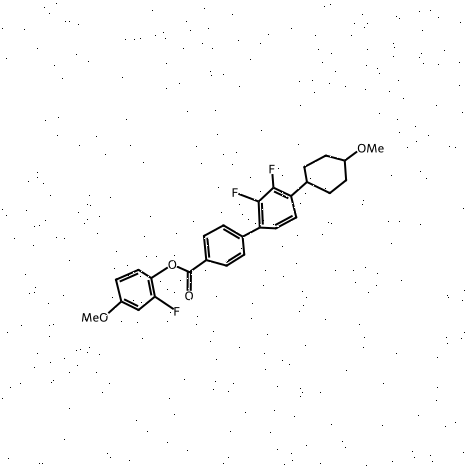 COc1ccc(OC(=O)c2ccc(-c3ccc(C4CCC(OC)CC4)c(F)c3F)cc2)c(F)c1